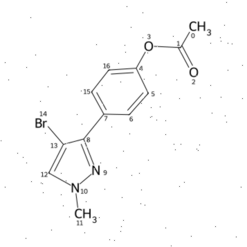 CC(=O)Oc1ccc(-c2nn(C)cc2Br)cc1